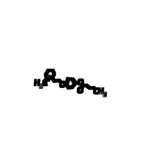 CCCCC(=O)Oc1ccc(OCCC2CCCCN2C)cc1